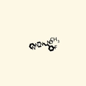 CON=C(CCN1CCN(c2ccccn2)CC1)c1cccc(F)c1